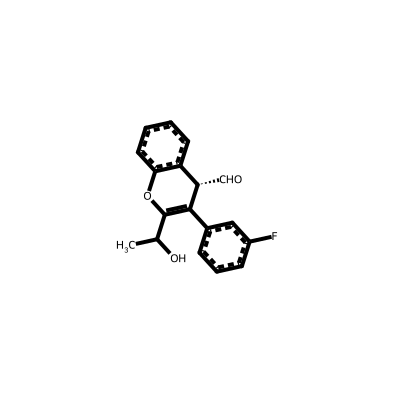 CC(O)C1=C(c2cccc(F)c2)[C@@H](C=O)c2ccccc2O1